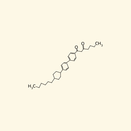 CCCCCCC1CCC(c2ccc(-c3ccc(C(=O)CC(=O)CCCC)cc3)cc2)CC1